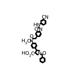 CN(C(=O)Cc1ccc2nc(Nc3cccc(C#N)c3)oc2c1)c1ccc(C2CN(C(=O)c3ccccc3)CC2C(=O)O)cc1